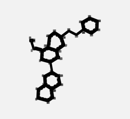 O/N=c1/cc(-c2cc3ccccc3cn2)oc2cc(CCc3ccccc3)ccc12